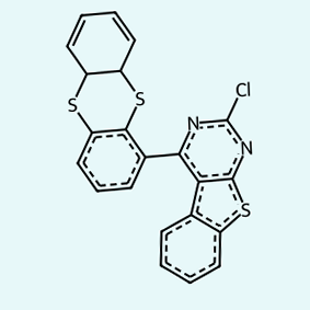 Clc1nc(-c2cccc3c2SC2C=CC=CC2S3)c2c(n1)sc1ccccc12